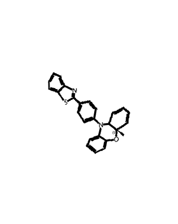 C[C@]12C=CC=CC1N(c1ccc(-c3nc4ccccc4s3)cc1)c1ccccc1O2